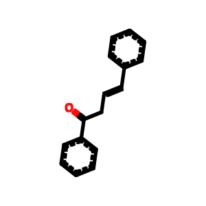 O=C(C/C=C/c1ccccc1)c1ccccc1